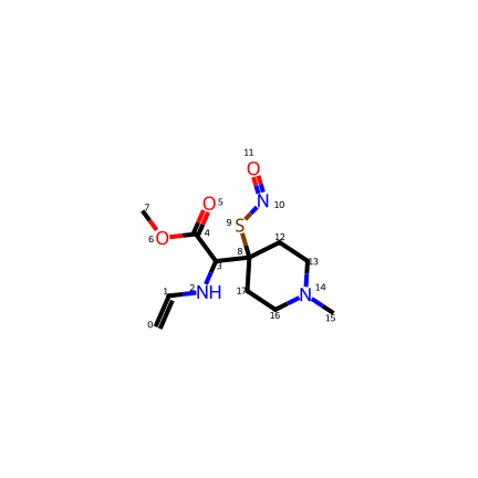 C=CNC(C(=O)OC)C1(SN=O)CCN(C)CC1